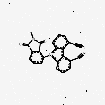 CN1C(=O)c2cccc(-n3c4cccc(C#N)c4c4c(C#N)cccc43)c2C1=O